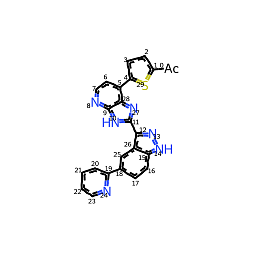 CC(=O)c1ccc(-c2ccnc3[nH]c(-c4n[nH]c5ccc(-c6ccccn6)cc45)nc23)s1